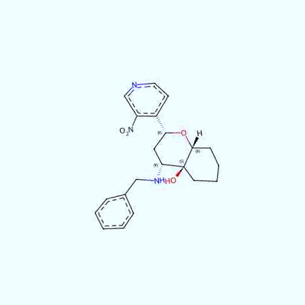 O=[N+]([O-])c1cnccc1[C@H]1C[C@@H](NCc2ccccc2)[C@@]2(O)CCCC[C@H]2O1